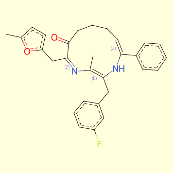 CC1=C(/Cc2cccc(F)c2)N/C(c2ccccc2)=C\CCCC(=O)/C(Cc2ccc(C)o2)=N\1